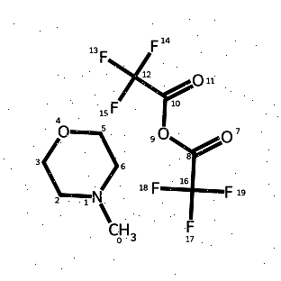 CN1CCOCC1.O=C(OC(=O)C(F)(F)F)C(F)(F)F